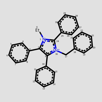 CCn1c(-c2ccccc2)c(-c2ccccc2)[n+](Cc2ccccc2)c1-c1ccccc1